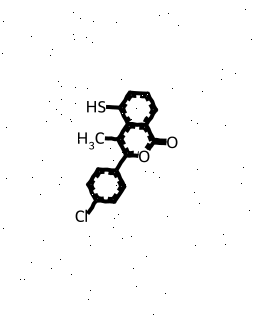 Cc1c(-c2ccc(Cl)cc2)oc(=O)c2cccc(S)c12